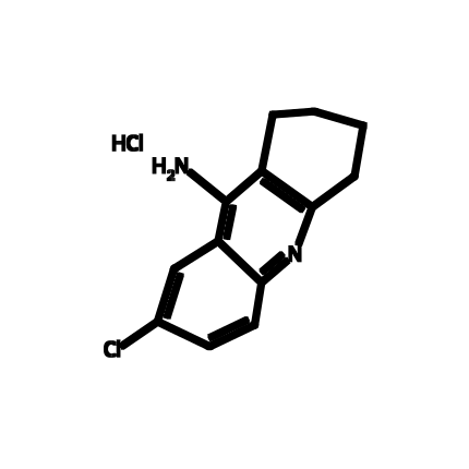 Cl.Nc1c2c(nc3ccc(Cl)cc13)CCCC2